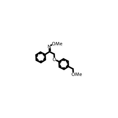 COCc1ccc(OC/C(=N\OC)c2ccccc2)cc1